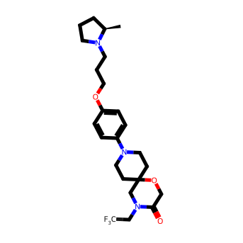 C[C@@H]1CCCN1CCCOc1ccc(N2CCC3(CC2)CN(CC(F)(F)F)C(=O)CO3)cc1